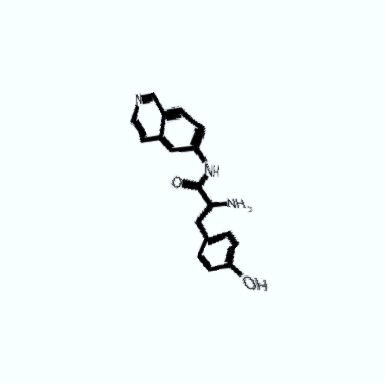 NC(Cc1ccc(O)cc1)C(=O)Nc1ccc2cnccc2c1